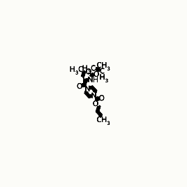 CCCCOC(=O)N1CCN(C(=O)[C@H](CCC)NC(=O)OC(C)(C)C)CC1